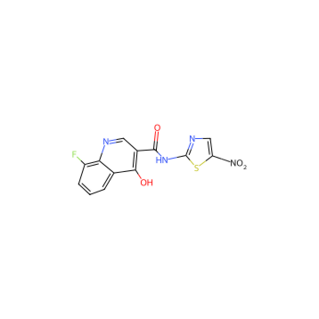 O=C(Nc1ncc([N+](=O)[O-])s1)c1cnc2c(F)cccc2c1O